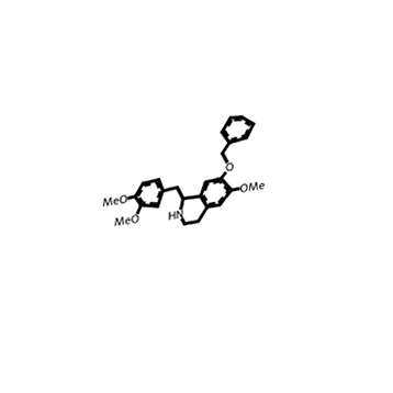 COc1ccc(CC2NCCc3cc(OC)c(OCc4ccccc4)cc32)cc1OC